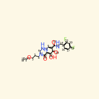 CC(C)OCCCN1CNn2cc(C(=O)NCc3ccc(F)cc3F)c(=O)c(O)c2C1=O